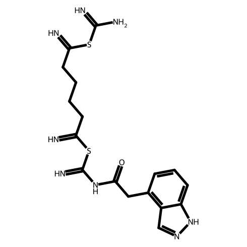 N=C(N)SC(=N)CCCCC(=N)SC(=N)NC(=O)Cc1cccc2[nH]ncc12